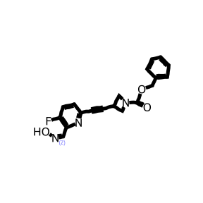 O=C(OCc1ccccc1)N1CC(C#Cc2ccc(F)c(/C=N\O)n2)C1